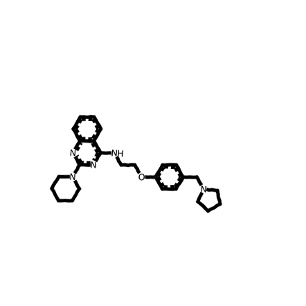 c1ccc2c(NCCOc3ccc(CN4CCCC4)cc3)nc(N3CCCCC3)nc2c1